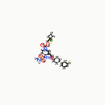 CN(C)S(=O)(=O)NC1CCN(C(=O)OCC2(F)CCC2)C[C@H]1CO[C@H]1CC[C@@H](c2cccc(F)c2)CC1